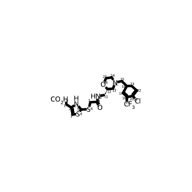 O=C(O)CC1=CSC(SCC(=O)NC[C@H]2CN(CC3C=C(C(F)(F)F)C(Cl)=CC3)CCO2)N1